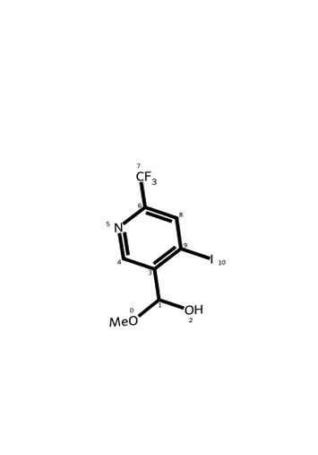 COC(O)c1cnc(C(F)(F)F)cc1I